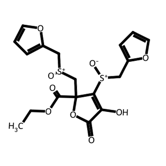 CCOC(=O)C1(C[S+]([O-])Cc2ccco2)OC(=O)C(O)=C1[S+]([O-])Cc1ccco1